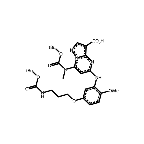 COc1ccc(OCCCNC(=O)OC(C)(C)C)cc1Nc1cc(N(C)C(=O)OC(C)(C)C)n2ncc(C(=O)O)c2n1